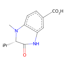 CC(C)[C@H]1C(=O)Nc2cc(C(=O)O)ccc2N1C